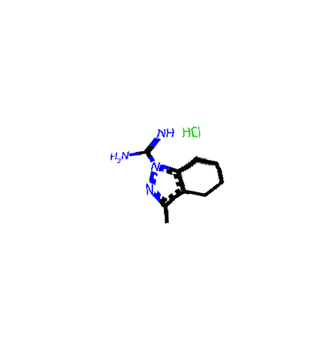 Cc1nn(C(=N)N)c2c1CCCC2.Cl